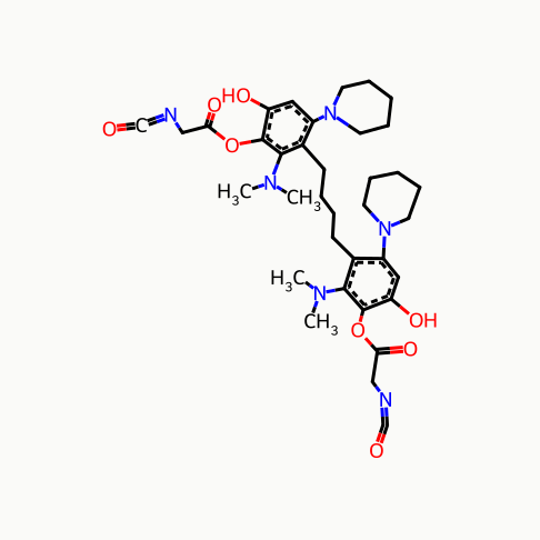 CN(C)c1c(CCCCc2c(N3CCCCC3)cc(O)c(OC(=O)CN=C=O)c2N(C)C)c(N2CCCCC2)cc(O)c1OC(=O)CN=C=O